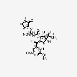 COC[C@H](NC(=O)OC(C)(C)C)C(=O)N1C[C@H]2[C@@H]([C@H]1C(=O)N[C@H](C#N)C[C@@H]1CCNC1=O)C2(C)C